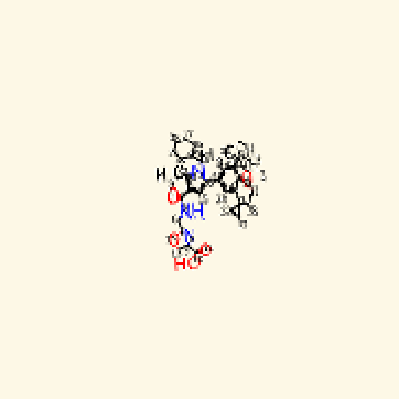 Cc1c(C(=O)NCC2=NC(C(=O)O)CO2)cc(-c2cc(C(C)(C)C)c3c(c2)C2(CCO3)CC2)n1CC1CCCCC1